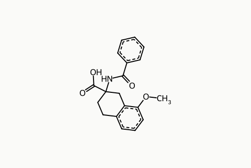 COc1cccc2c1CC(NC(=O)c1ccccc1)(C(=O)O)CC2